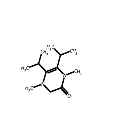 CC(C)C1=C(C(C)C)N(C)C(=O)CN1C